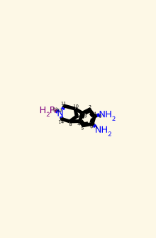 Nc1cc2c(cc1N)C1CC2CN(P)C1